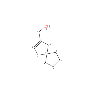 OCC1=CCC2(CC=CC2)C1